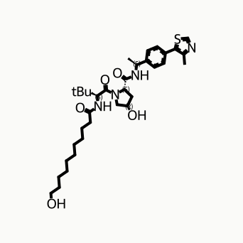 Cc1ncsc1-c1ccc([C@H](C)NC(=O)[C@@H]2C[C@@H](O)CN2C(=O)[C@@H](NC(=O)CCCCCCCCCCO)C(C)(C)C)cc1